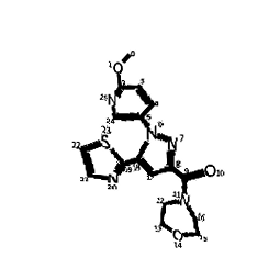 COc1ccc(-n2nc(C(=O)N3CCOCC3)cc2-c2nccs2)cn1